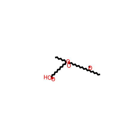 CCCCCCC(CCCCCCCCCCC(=O)OC(CCCCCC)CCCCCCCCCCC(=O)O)OC